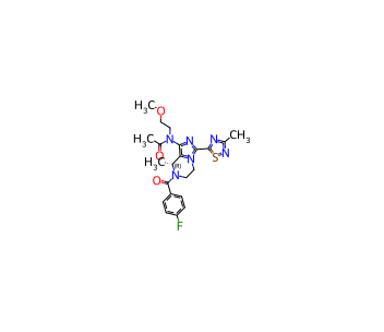 COCCN(C(C)=O)c1nc(-c2nc(C)ns2)n2c1[C@@H](C)N(C(=O)c1ccc(F)cc1)CC2